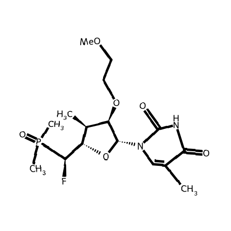 COCCO[C@@H]1[C@H](C)[C@@H]([C@@H](F)P(C)(C)=O)O[C@H]1n1cc(C)c(=O)[nH]c1=O